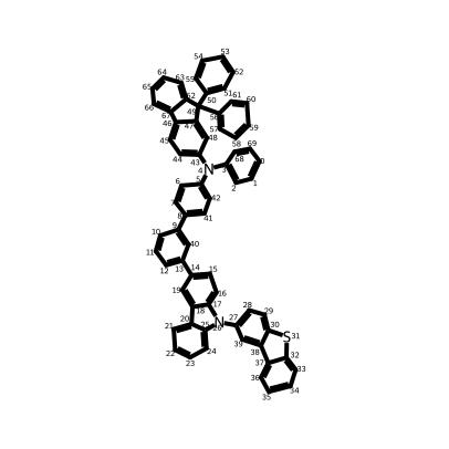 c1ccc(N(c2ccc(-c3cccc(-c4ccc5c(c4)c4ccccc4n5-c4ccc5sc6ccccc6c5c4)c3)cc2)c2ccc3c(c2)C(c2ccccc2)(c2ccccc2)c2ccccc2-3)cc1